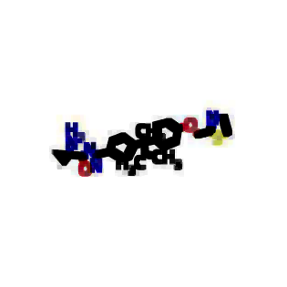 CC(C)C(C)(c1ccc(OCc2nccs2)cc1)c1ccc(-c2noc(C3(N)CC3)n2)cc1